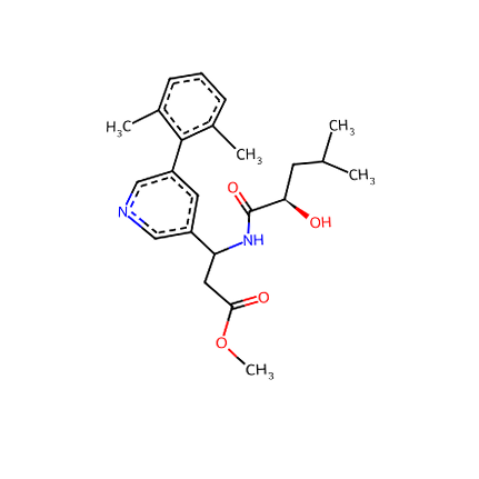 COC(=O)CC(NC(=O)[C@H](O)CC(C)C)c1cncc(-c2c(C)cccc2C)c1